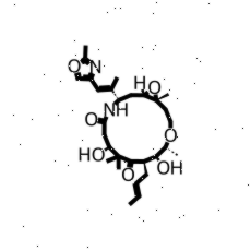 CC=CC[C@H]1C(=O)C(C)(C)[C@@H](O)CC(=O)N[C@H](C(C)=Cc2coc(C)n2)C[C@@H]2O[C@]2(C)CCO[C@H](C)[C@H]1O